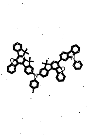 Cc1ccc(N(c2ccc3c(c2)C(C)(C)c2cc(-c4ccc5c6ccccc6n(-c6ccccc6)c5c4)c4oc5ccccc5c4c2-3)c2ccc3c(c2)C(C)(C)c2c4c(c5oc6ccccc6c5c2-3)-c2ccccc2C4(C)C)cc1